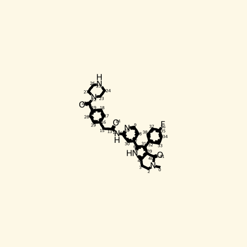 CN1CCc2[nH]c(-c3ccnc(NC(=O)Cc4ccc(C(=O)N5CCNCC5)cc4)c3)c(-c3ccc(F)cc3)c2C1=O